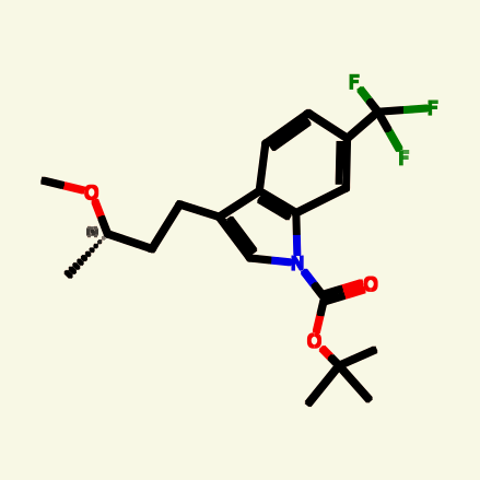 CO[C@@H](C)CCc1cn(C(=O)OC(C)(C)C)c2cc(C(F)(F)F)ccc12